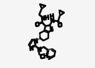 CCN(Cc1ccccc1)c1nccn1[C@H]1CCc2sc(NC(=O)C3CC3)c(C(=O)NCC3CC3)c2C1